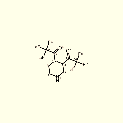 O=C(C1CNCCN1C(=O)C(F)(F)F)C(F)(F)F